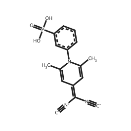 [C-]#[N+]C([N+]#[C-])=C1C=C(C)N(c2cccc(P(=O)(O)O)c2)C(C)=C1